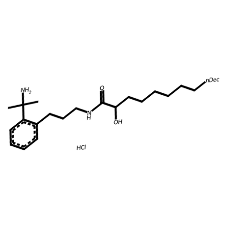 CCCCCCCCCCCCCCCCC(O)C(=O)NCCCc1ccccc1C(C)(C)N.Cl